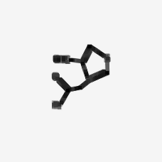 CC(C)C(=O)Cc1cscc1C=O